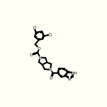 O=C(OCc1cc(Cl)cc(Cl)c1)N1CC2CN(C(=O)c3ccc4[nH]cnc4c3)CC2C1